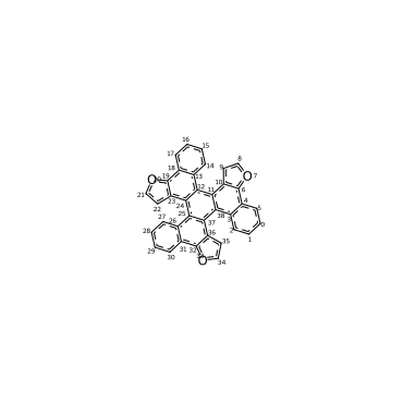 c1ccc2c(c1)c1occc1c1c3c4ccccc4c4occc4c3c3c4ccccc4c4occc4c3c21